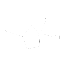 CC(C)C1CC[Si](C)(C)C1